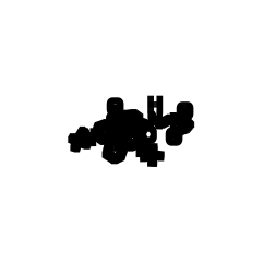 CC1(C)CN(c2ccc3c(c2)[Si]2(CCCCC2)c2cc(N4CC(C)(C)C4)ccc2C32OC(=O)c3ccc(C(=O)NCCN4C(=O)C=CC4=O)cc32)C1